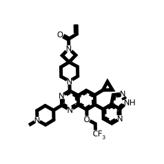 C=CC(=O)N1CC2(CCN(c3nc(C4CCN(C)CC4)nc4c(OCC(F)(F)F)c(-c5ccnc6[nH]ncc56)c(C5CC5)cc34)CC2)C1